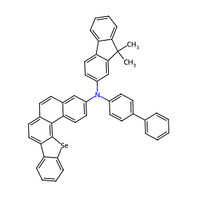 CC1(C)c2ccccc2-c2ccc(N(c3ccc(-c4ccccc4)cc3)c3ccc4c(ccc5ccc6c7ccccc7[se]c6c54)c3)cc21